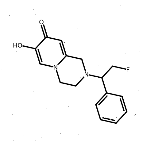 O=c1cc2n(cc1O)CCN(C(CF)c1ccccc1)C2